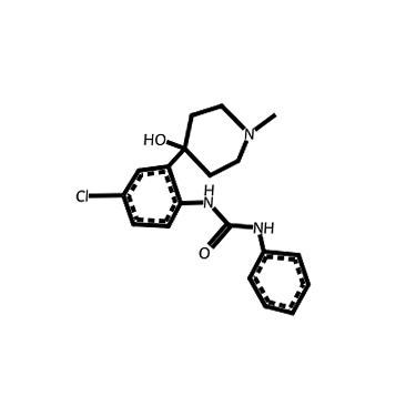 CN1CCC(O)(c2cc(Cl)ccc2NC(=O)Nc2ccccc2)CC1